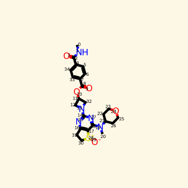 CNC(=O)c1ccc(C(=O)OC2CN(c3nc4c(c(N(C)C5CCOCC5)n3)[S+]([O-])CC4)C2)cc1